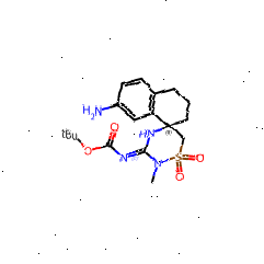 CN1/C(=N/C(=O)OC(C)(C)C)N[C@@]2(CCCc3ccc(N)cc32)CS1(=O)=O